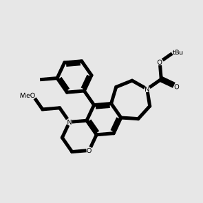 COCCN1CCOc2cc3c(c(-c4cccc(C)c4)c21)CCN(C(=O)OC(C)(C)C)CC3